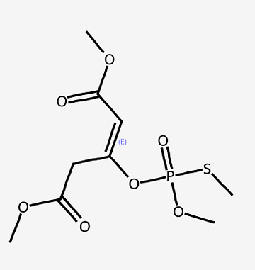 COC(=O)/C=C(\CC(=O)OC)OP(=O)(OC)SC